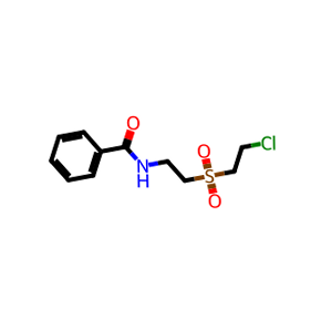 O=C(NCCS(=O)(=O)CCCl)c1ccccc1